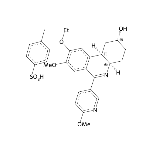 CCOc1cc2c(cc1OC)C(c1ccc(OC)nc1)=N[C@@H]1CC[C@@H](O)C[C@H]21.Cc1ccc(S(=O)(=O)O)cc1